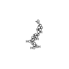 C=C1C=C([C@H]2CCC34O[C@@]35CC[C@H]3C[C@@H](O[C@@H]6O[C@H](C)[C@@H](O[C@H]7C[C@H](O)[C@H](O[C@H]8C[C@@H](O)[C@H](O)[C@@H](C)O8)[C@@H](C)O7)[C@@H](O)O6)CC[C@]3(C)[C@H]5CC[C@]24C)CO1